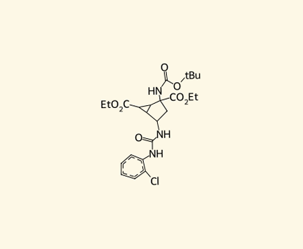 CCOC(=O)C1C2C(NC(=O)Nc3ccccc3Cl)CC(NC(=O)OC(C)(C)C)(C(=O)OCC)C12